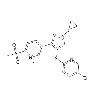 CS(=O)(=O)c1ccc(-c2nn(C3CC3)cc2Sc2ccc(Cl)cn2)cn1